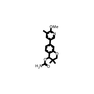 COc1ncc(-c2ccc3c(c2)OCC(C)(C)C3OC(N)=O)cc1C